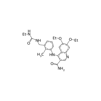 CCNC(=O)NCc1cccc(Nc2c(C(N)=O)cnc3cc(OCC)c(OCC)cc23)c1C